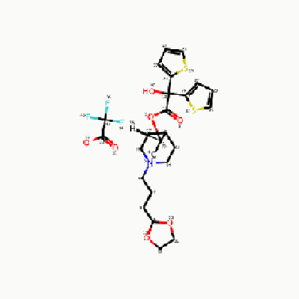 O=C(O[C@H]1C[N+]2(CCCC3OCCO3)CCC1CC2)C(O)(c1cccs1)c1cccs1.O=C([O-])C(F)(F)F